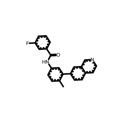 Cc1ccc(NC(=O)c2cccc(F)c2)cc1-c1ccc2ccncc2c1